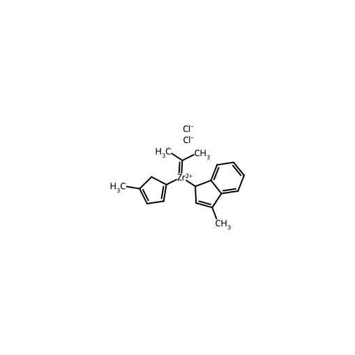 CC1=CC=[C]([Zr+2](=[C](C)C)[CH]2C=C(C)c3ccccc32)C1.[Cl-].[Cl-]